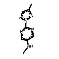 CNc1cnc(-n2ncc(C)n2)nc1